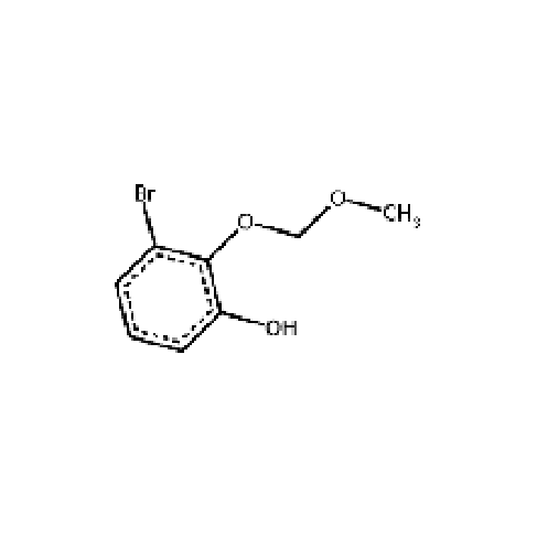 COCOc1c(O)cccc1Br